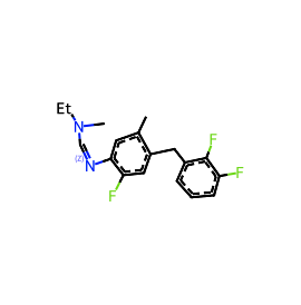 CCN(C)/C=N\c1cc(C)c(Cc2cccc(F)c2F)cc1F